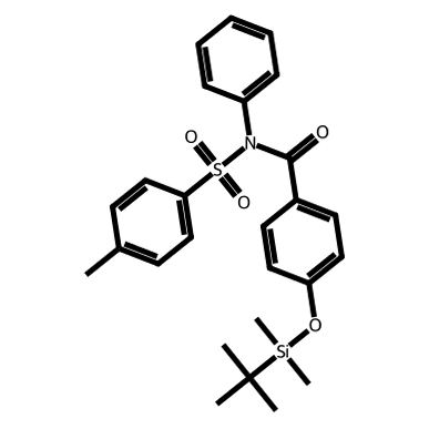 Cc1ccc(S(=O)(=O)N(C(=O)c2ccc(O[Si](C)(C)C(C)(C)C)cc2)c2ccccc2)cc1